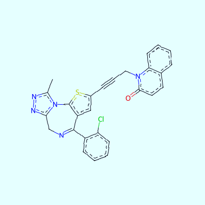 Cc1nnc2n1-c1sc(C#CCn3c(=O)ccc4ccccc43)cc1C(c1ccccc1Cl)=NC2